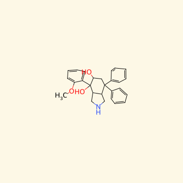 COc1ccccc1C1(O)C(O)CC(c2ccccc2)(c2ccccc2)C2CNCC21